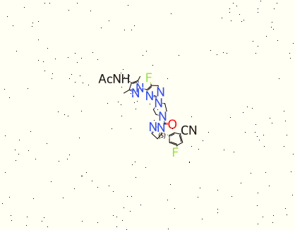 CC(=O)Nc1c(C)nn(-c2nc(N3CCN(C(=O)N4N=CC[C@H]4c4cc(F)cc(C#N)c4)CC3)ncc2F)c1C